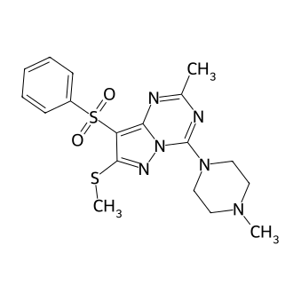 CSc1nn2c(N3CCN(C)CC3)nc(C)nc2c1S(=O)(=O)c1ccccc1